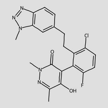 Cc1nn(C)c(=O)c(-c2c(F)ccc(Cl)c2CCc2ccc3nnn(C)c3c2)c1O